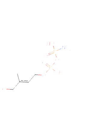 C/C(=C\COP(=O)(O)OP(N)(=O)O)CO